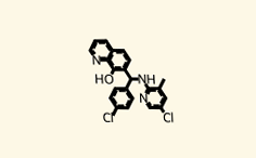 Cc1cc(Cl)cnc1NC(c1ccc(Cl)cc1)c1ccc2cccnc2c1O